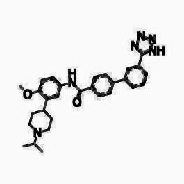 COc1ccc(NC(=O)c2ccc(-c3cccc(-c4nnn[nH]4)c3)cc2)cc1C1CCN(C(C)C)CC1